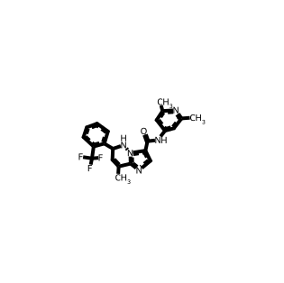 CC1=CC(c2ccccc2C(F)(F)F)Nn2c(C(=O)Nc3cc(C)nc(C)c3)cnc21